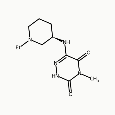 CCN1CCC[C@@H](Nc2n[nH]c(=O)n(C)c2=O)C1